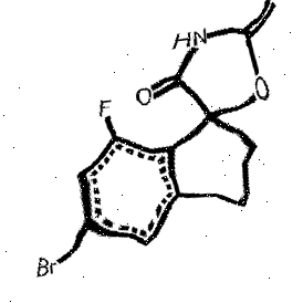 O=C1NC(=O)C2(CCc3cc(Br)cc(F)c32)O1